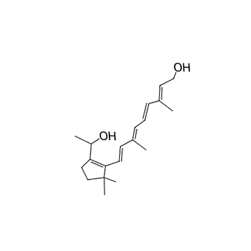 CC(/C=C/C1=C(C(C)O)CCC1(C)C)=C\C=C\C(C)=C\CO